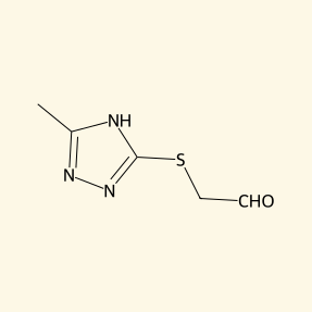 Cc1nnc(SCC=O)[nH]1